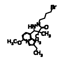 CCc1cc2c(C3NN(CCCCBr)C(=O)C3(C)C)ccc(OC)n2c1